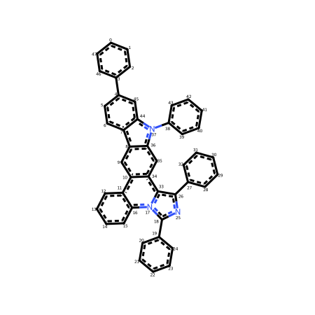 c1ccc(-c2ccc3c4cc5c6ccccc6n6c(-c7ccccc7)nc(-c7ccccc7)c6c5cc4n(-c4ccccc4)c3c2)cc1